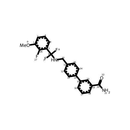 COc1cccc(C(F)(F)NCc2ccc(-c3cccc(C(N)=O)c3)cc2)c1F